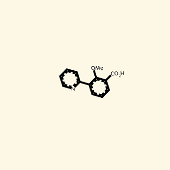 COc1c(C(=O)O)cccc1-c1ccccn1